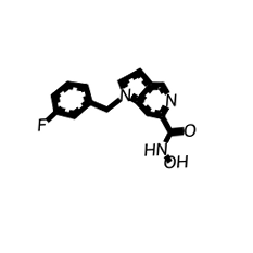 O=C(NO)c1cc2c(ccn2Cc2cccc(F)c2)cn1